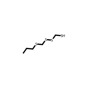 CCCSCSSCS